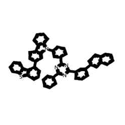 c1ccc(-c2nc(-c3cccc(-c4ccc5ccccc5c4)c3)nc(-c3cccc(-n4c5ccccc5c5ccc(-c6cccc7sc8ccccc8c67)cc54)c3)n2)cc1